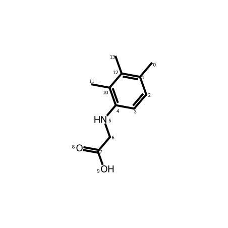 Cc1ccc(NCC(=O)O)c(C)c1C